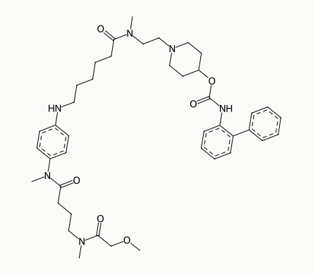 COCC(=O)N(C)CCCC(=O)N(C)c1ccc(NCCCCCC(=O)N(C)CCN2CCC(OC(=O)Nc3ccccc3-c3ccccc3)CC2)cc1